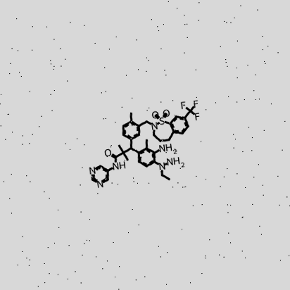 CCN(N)c1ccc(C(c2ccc(C)c(CN3CCCc4ccc(C(F)(F)F)cc4S3(=O)=O)c2)C(C)(C)C(=O)Nc2cncnc2)c(C)c1N